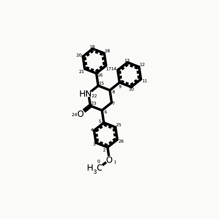 COc1ccc(C2CC(c3ccccc3)C(c3ccccc3)NC2=O)cc1